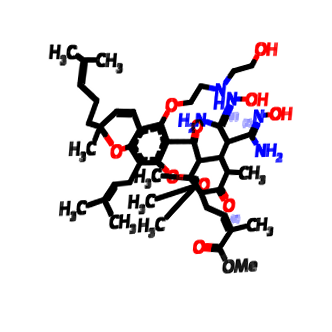 COC(=O)/C(C)=C\CC12OC(C)(C)C(C)C13Oc1c(CC=C(C)C)c4c(c(OCCNCCO)c1C(=O)C3C(C(/C(N)=N/O)/C(N)=N\O)C(C)C2=O)C=CC(C)(CCC=C(C)C)O4